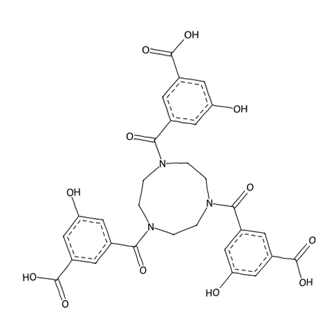 O=C(O)c1cc(O)cc(C(=O)N2CCN(C(=O)c3cc(O)cc(C(=O)O)c3)CCN(C(=O)c3cc(O)cc(C(=O)O)c3)CC2)c1